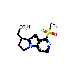 CS(=O)(=O)c1nccc2c1cc1n2CCC1CC(=O)O